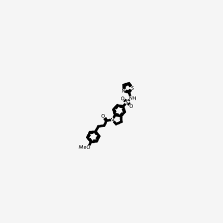 COc1ccc(CCC(=O)N2CCc3cc(S(=O)(=O)Nc4nccs4)ccc32)cc1